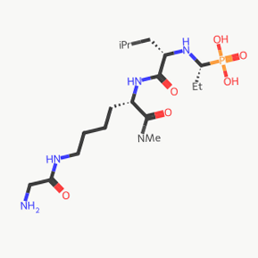 CC[C@H](N[C@@H](CC(C)C)C(=O)N[C@@H](CCCCNC(=O)CN)C(=O)NC)P(=O)(O)O